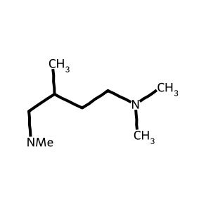 CNCC(C)CCN(C)C